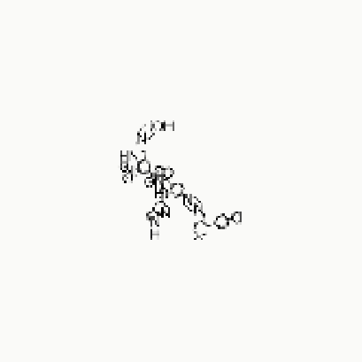 CC1(C)CCC(CN2CCN(c3ccc(C(=O)NS(=O)(=O)c4cc5c(c([N+](=O)[O-])c4)N[C@H](CN4CCC(C)(O)CC4)C5)c(Oc4cnc5[nH]ccc5c4)c3)CC2)=C(c2ccc(Cl)cc2)C1